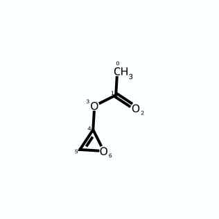 CC(=O)OC1=CO1